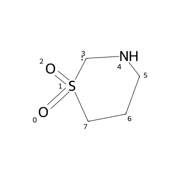 O=S1(=O)[C]NCCC1